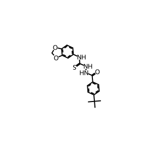 CC(C)(C)c1ccc(C(=O)NNC(=S)Nc2ccc3c(c2)OCO3)cc1